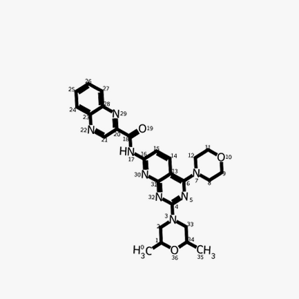 CC1CN(c2nc(N3CCOCC3)c3ccc(NC(=O)c4cnc5ccccc5n4)nc3n2)CC(C)O1